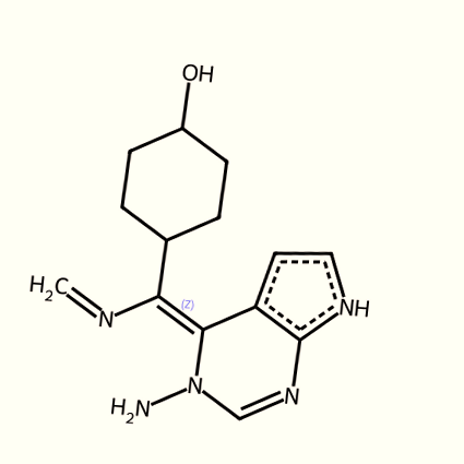 C=N/C(=C1/c2cc[nH]c2N=CN1N)C1CCC(O)CC1